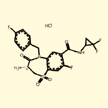 Cl.N[C@H]1CS(=O)(=O)c2cc(F)c(C(=O)NC3CC3(F)F)cc2N(Cc2ccc(F)cc2)C1=O